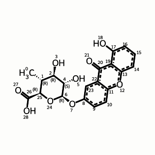 C[C@@H]1[C@@H](O)[C@H](O)[C@@H](Oc2ccc3oc4cccc(O)c4c(=O)c3c2)O[C@H]1C(=O)O